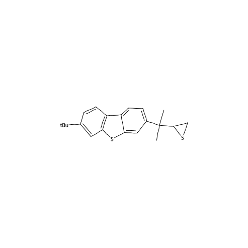 CC(C)(C)c1ccc2c(c1)sc1cc(C(C)(C)C3CS3)ccc12